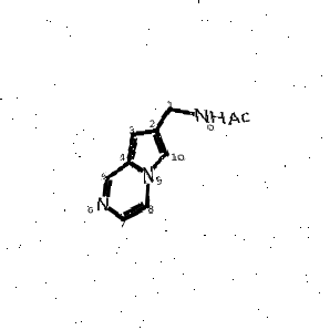 CC(=O)NCc1cc2cnccn2c1